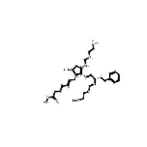 COCCOCO[C@@H](CCc1ccccc1)CC[C@@H]1[C@@H](CC=CCCCC(=O)OC(C)C)[C@@H](O)C[C@H]1OCOCCOC